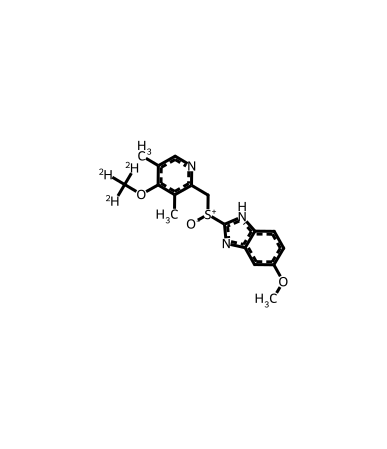 [2H]C([2H])([2H])Oc1c(C)cnc(C[S+]([O-])c2nc3cc(OC)ccc3[nH]2)c1C